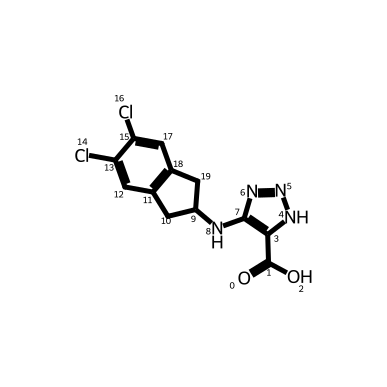 O=C(O)c1[nH]nnc1NC1Cc2cc(Cl)c(Cl)cc2C1